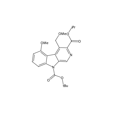 COCc1c(C(=O)OC(C)C)ncc2c1c1c(OC)cccc1n2C(=O)OC(C)(C)C